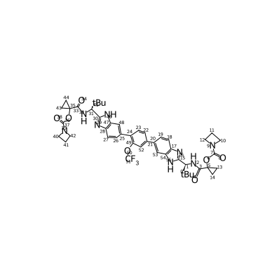 CC(C)(C)[C@H](NC(=O)C1(OC(=O)N2CCC2)CC1)c1nc2ccc(-c3ccc(-c4ccc5nc([C@@H](NC(=O)C6(OC(=O)N7CCC7)CC6)C(C)(C)C)[nH]c5c4)c(OC(F)(F)F)c3)cc2[nH]1